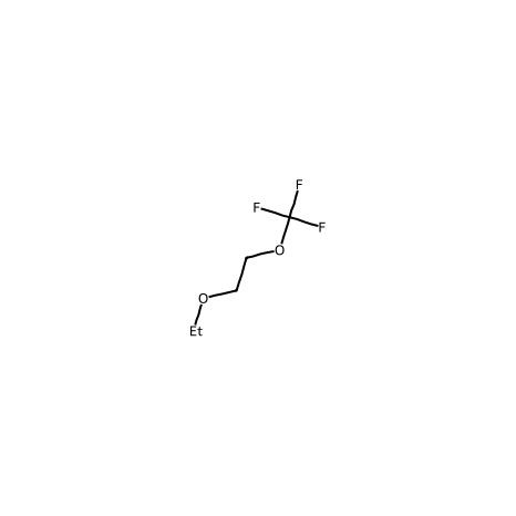 CCOCCOC(F)(F)F